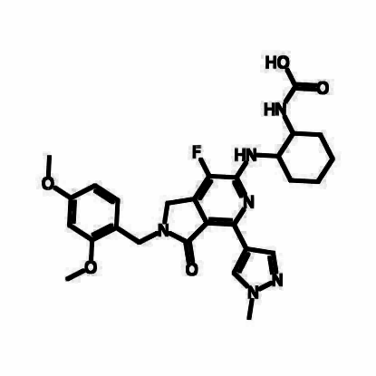 COc1ccc(CN2Cc3c(F)c(NC4CCCCC4NC(=O)O)nc(-c4cnn(C)c4)c3C2=O)c(OC)c1